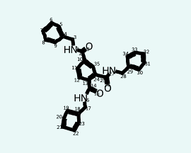 O=C(NCc1ccccc1)c1ccc(C(=O)NCc2ccccc2)c(C(=O)NCc2ccccc2)c1